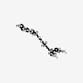 Nc1nc2cc(-c3nn(CCCCNC(=O)CCOCCOCCNC(=O)c4cnc(N5CCN(c6ncc7c(n6)CCNC7)CC5)nc4)c4ncnc(N)c34)ccc2o1